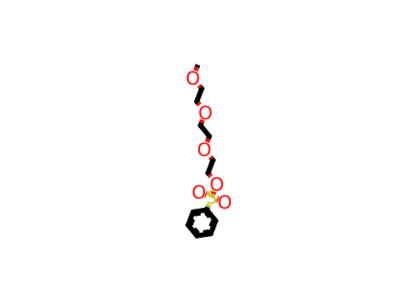 COCCOCCOCCOS(=O)(=O)c1ccccc1